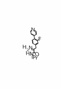 CC(C)NC(=O)[C@@H](N)Cc1ccc(-c2ccncc2)c(F)c1